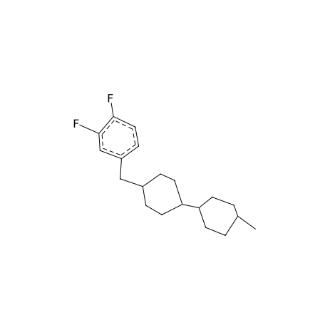 CC1CCC(C2CCC(Cc3ccc(F)c(F)c3)CC2)CC1